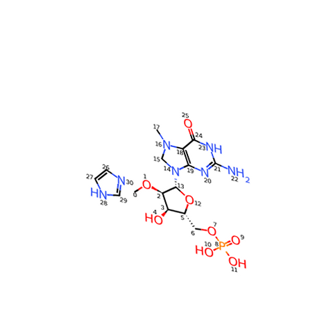 CO[C@@H]1[C@H](O)[C@@H](COP(=O)(O)O)O[C@H]1N1CN(C)c2c1nc(N)[nH]c2=O.c1c[nH]cn1